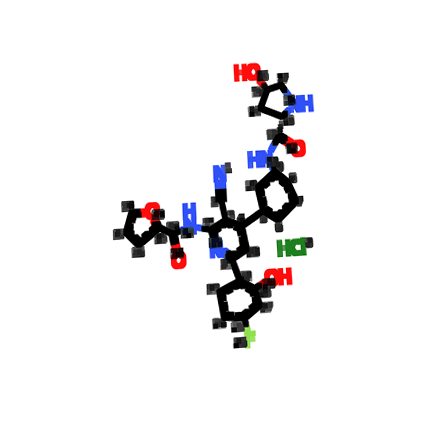 Cl.N#Cc1c(-c2cccc(NC(=O)[C@@H]3C[C@@H](O)CN3)c2)cc(-c2ccc(F)cc2O)nc1NC(=O)c1ccco1